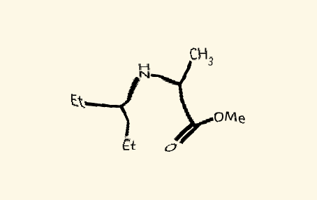 CCC(CC)NC(C)C(=O)OC